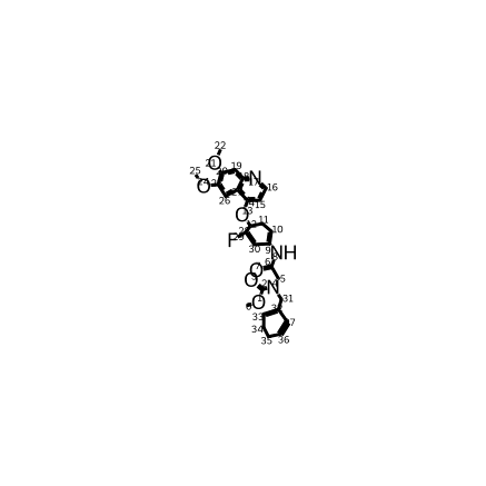 COC(=O)N(CC(=O)NC1=CCC(Oc2ccnc3cc(OC)c(OC)cc23)C(F)=C1)CC1=CCCC#C1